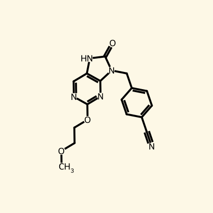 COCCOc1ncc2[nH]c(=O)n(Cc3ccc(C#N)cc3)c2n1